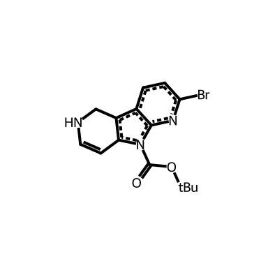 CC(C)(C)OC(=O)n1c2c(c3ccc(Br)nc31)CNC=C2